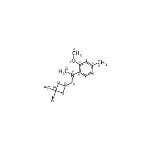 COc1cc(C)ccc1N(C)CC1CC(F)(F)C1